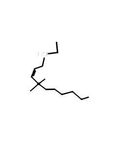 CCCCCCC(C)(C)/C=C\CNCC